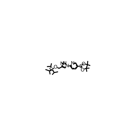 CC(C)[Si](OCc1cn(-c2ccc(B3OC(C)(C)C(C)(C)O3)cn2)nn1)(C(C)C)C(C)C